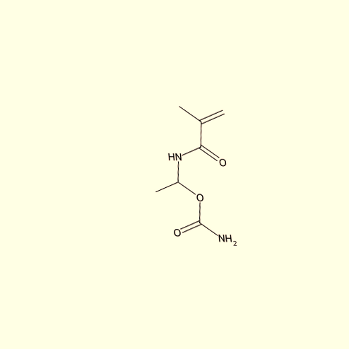 C=C(C)C(=O)NC(C)OC(N)=O